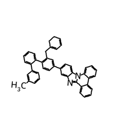 Cc1cccc(-c2ccccc2-c2ccc(-c3ccc4c(c3)nc3c5ccccc5c5ccccc5n43)cc2CC2=CC=CCC2)c1